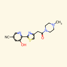 CN1CCN(C(=O)Cc2csc(-c3ncc(C#N)cc3O)n2)CC1